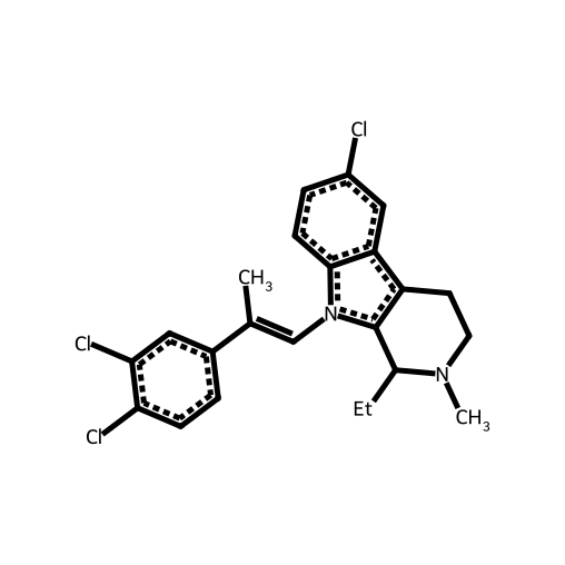 CCC1c2c(c3cc(Cl)ccc3n2C=C(C)c2ccc(Cl)c(Cl)c2)CCN1C